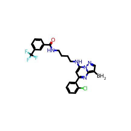 Bc1cnn2c(NCCCCNC(=O)c3cccc(C(F)(F)F)c3)cc(-c3ccccc3Cl)nc12